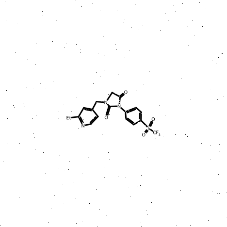 CCc1cc(CN2CC(=O)N(c3ccc(S(=O)(=O)C(F)(F)F)cc3)C2=O)ccn1